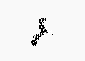 Nc1nc2cc(-c3cc[nH]n3)ccc2c2cn(CCNC(=O)c3cccnn3)nc12